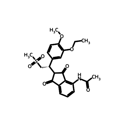 CCOc1cc([C@@H](CS(C)(=O)=O)C2C(=O)c3cccc(NC(C)=O)c3C2=O)ccc1OC